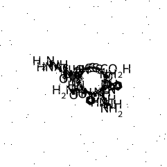 CC(=O)N1C[C@H](C(=O)N[C@H]2CC(=O)NCCCC[C@@H](C(=O)O)NC(=O)[C@H](Cc3c[nH]c4ccccc34)NC(=O)[C@H](CCCNC(=N)N)NC(=O)C(c3ccccc3)NC(=O)[C@H](CCC(N)=O)NC2=O)NC(=O)[C@@H]1CCCNC(=N)N